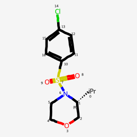 CC(C)[C@@H]1COCCN1S(=O)(=O)c1ccc(Cl)cc1